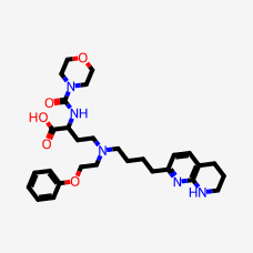 O=C(O)C(CCN(CCCCc1ccc2c(n1)NCCC2)CCOc1ccccc1)NC(=O)N1CCOCC1